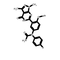 CCCOc1ccc(N(C(N)=O)c2ccc(F)cc2)cc1-c1nc2c(c(C)nn2C)c(=O)[nH]1